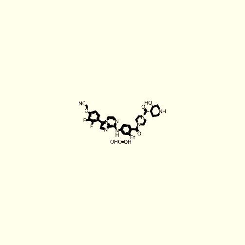 CCc1cc(Nc2nccn3c(-c4ccc(OCC#N)c(F)c4F)cnc23)ccc1C(=O)N1CCN(C(=O)[C@H]2CCNC[C@H]2O)CC1.O=CO